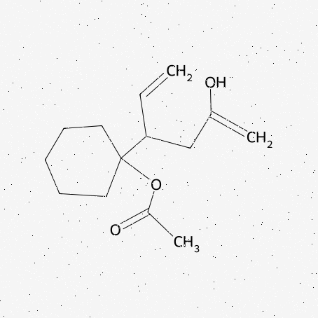 C=CC(CC(=C)O)C1(OC(C)=O)CCCCC1